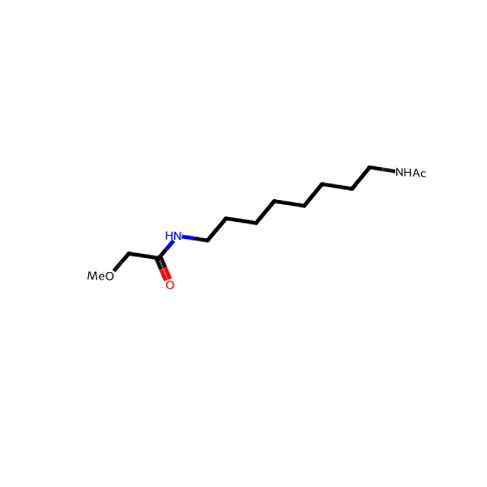 COCC(=O)NCCCCCCCCNC(C)=O